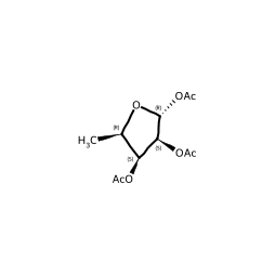 CC(=O)O[C@H]1O[C@H](C)[C@H](OC(C)=O)[C@@H]1OC(C)=O